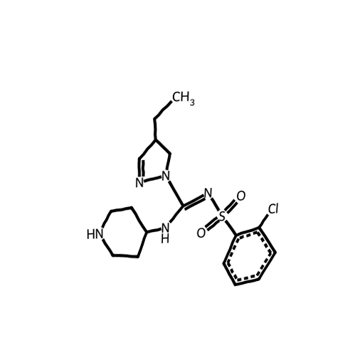 CCC1C=NN(/C(=N/S(=O)(=O)c2ccccc2Cl)NC2CCNCC2)C1